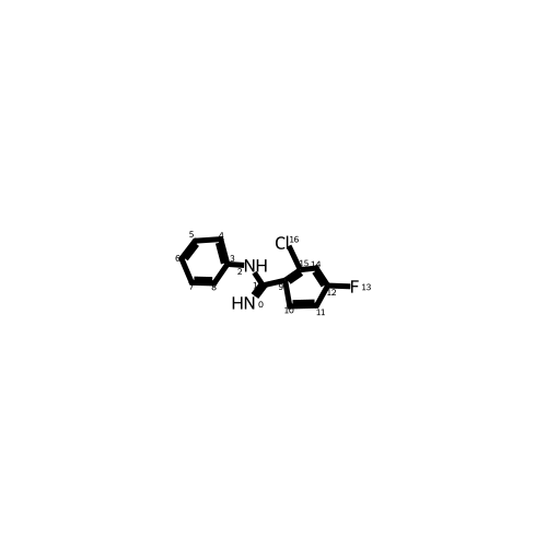 N=C(Nc1ccccc1)c1ccc(F)cc1Cl